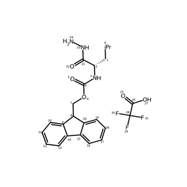 CC(C)C[C@H](NC(=O)OCC1c2ccccc2-c2ccccc21)C(=O)NN.O=C(O)C(F)(F)F